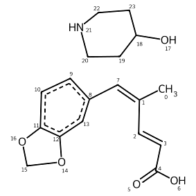 CC(C=CC(=O)O)=Cc1ccc2c(c1)OCO2.OC1CCNCC1